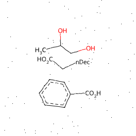 CC(O)CO.CCCCCCCCCCCC(=O)O.O=C(O)c1ccccc1